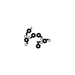 CC(COc1ccc(C=O)cc1OCc1ccccc1)c1ccccc1.O=Cc1ccc(OCCc2ccc(F)cc2)c(OCc2ccccc2)c1